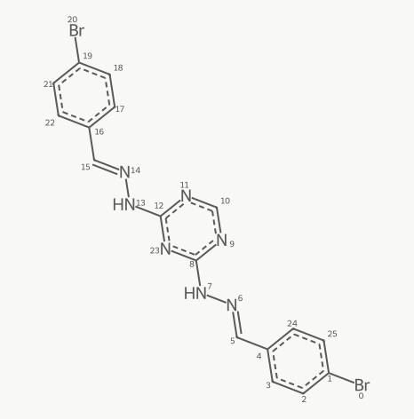 Brc1ccc(C=NNc2ncnc(NN=Cc3ccc(Br)cc3)n2)cc1